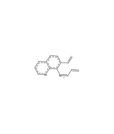 C=C/C=N\c1c(C=C)ccc2cccnc12